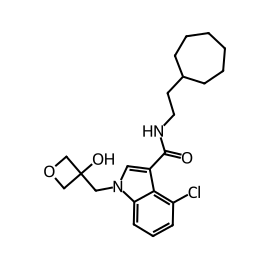 O=C(NCCC1CCCCCC1)c1cn(CC2(O)COC2)c2cccc(Cl)c12